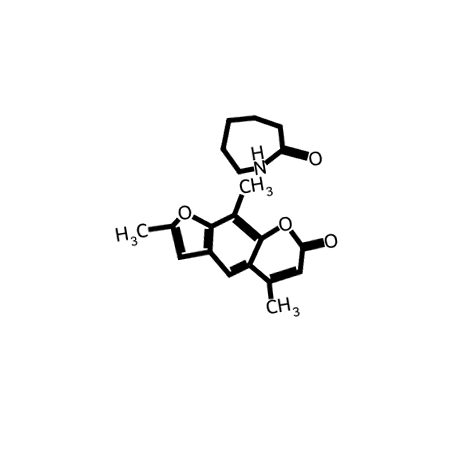 Cc1cc2cc3c(C)cc(=O)oc3c(C)c2o1.O=C1CCCCCN1